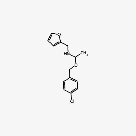 CC(NCc1ccco1)OCc1ccc(Cl)cc1